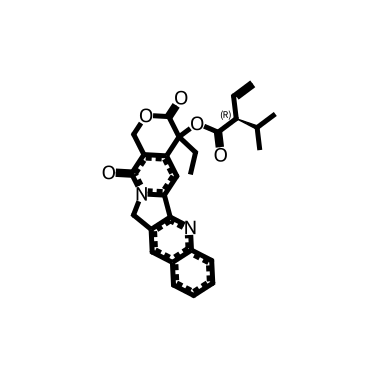 C=C[C@H](C(=O)OC1(CC)C(=O)OCc2c1cc1n(c2=O)Cc2cc3ccccc3nc2-1)C(C)C